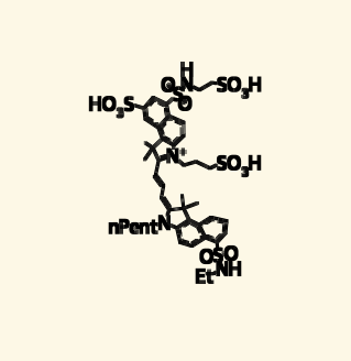 CCCCCN1/C(=C/C=C/C2=[N+](CCCS(=O)(=O)O)c3ccc4c(S(=O)(=O)NCCS(=O)(=O)O)cc(S(=O)(=O)O)cc4c3C2(C)C)C(C)(C)c2c1ccc1c(S(=O)(=O)NCC)cccc21